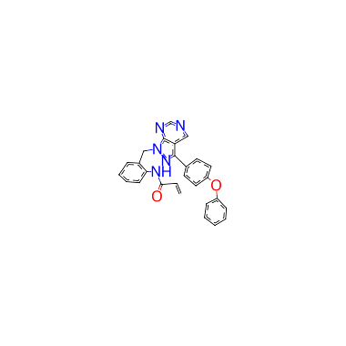 C=CC(=O)Nc1ccccc1Cn1nc(-c2ccc(Oc3ccccc3)cc2)c2cncnc21